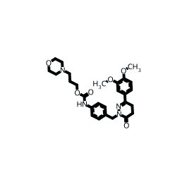 COc1ccc(C2=NN(Cc3ccc(NC(=O)OCCCN4CCOCC4)cc3)C(=O)CC2)cc1OC